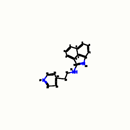 c1cc2c3c(cccc3c1)C(NCCc1ccncc1)=N2